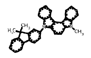 Cn1c2ccccc2c2c3c4ccccc4n(-c4ccc5c(c4)C(C)(C)c4ccccc4-5)c3ccc21